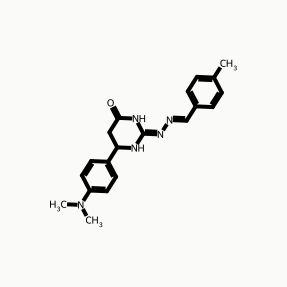 Cc1ccc(C=NN=C2NC(=O)CC(c3ccc(N(C)C)cc3)N2)cc1